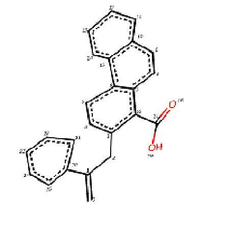 C=C(Cc1ccc2c(ccc3ccccc32)c1C(=O)O)c1ccccc1